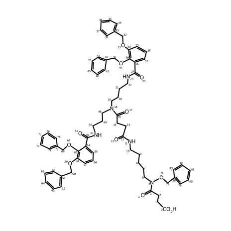 O=C(O)CCC(=O)N(CCCCCNC(=O)CCC(=O)N(CCCCNC(=O)c1cccc(OCc2ccccc2)c1OCc1ccccc1)CCCNC(=O)c1cccc(OCc2ccccc2)c1OCc1ccccc1)OCc1ccccc1